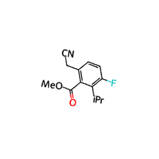 COC(=O)c1c(CC#N)ccc(F)c1C(C)C